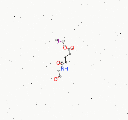 O=[C]CNC(=O)CCCC(=O)OCI